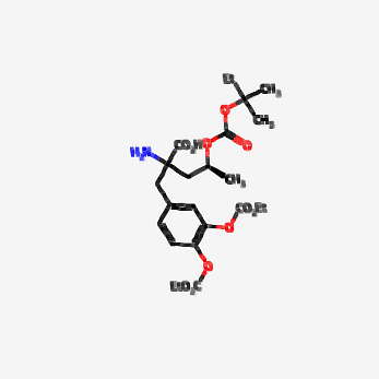 CCOC(=O)Oc1ccc(CC(N)(C[C@H](C)OC(=O)OC(C)(C)CC)C(=O)O)cc1OC(=O)OCC